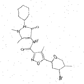 Cc1c(C(=O)Nc2c(C)n(C)n(C3CCCCC3)c2=O)noc1C1CC(Br)C(C)CO1